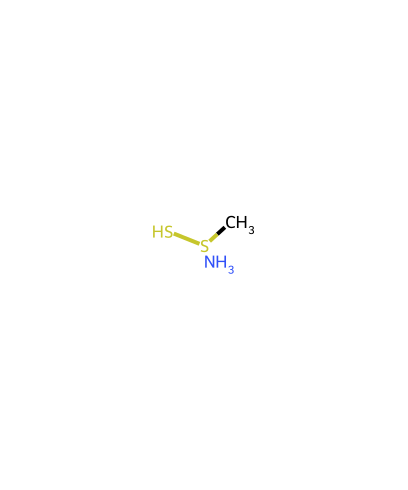 CSS.N